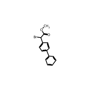 COC(=O)C(Br)c1ccc(-c2ccccc2)cc1